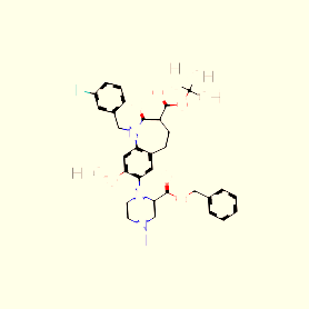 COc1cc2c(cc1N1CCNCC1C(=O)OCc1ccccc1)CCC(C(=O)OC(C)(C)C)C(=O)N2Cc1cccc(F)c1